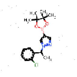 CC(c1ccccc1Cl)n1cc(B2OC(C)(C)C(C)(C)O2)cn1